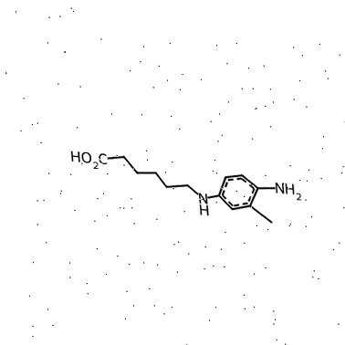 Cc1cc(NCCCCCC(=O)O)ccc1N